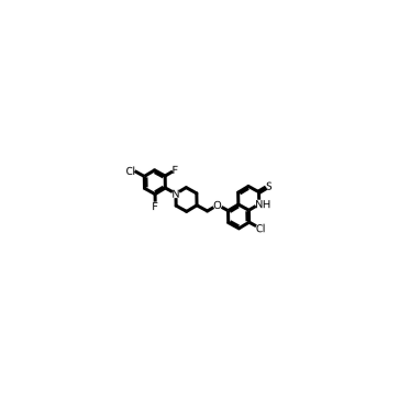 Fc1cc(Cl)cc(F)c1N1CCC(COc2ccc(Cl)c3[nH]c(=S)ccc23)CC1